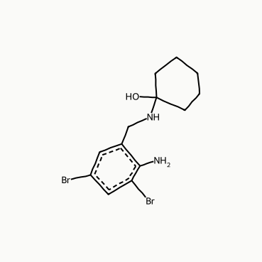 Nc1c(Br)cc(Br)cc1CNC1(O)CCCCC1